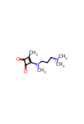 Cc1c(N(C)CCCN(C)C)c(=O)c1=O